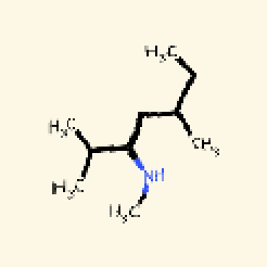 CCC(C)CC(NC)C(C)C